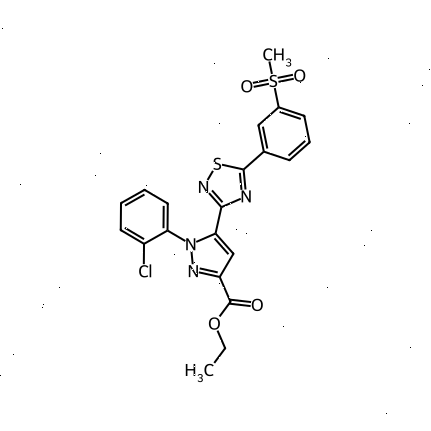 CCOC(=O)c1cc(-c2nsc(-c3cccc(S(C)(=O)=O)c3)n2)n(-c2ccccc2Cl)n1